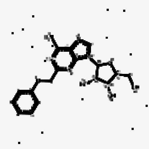 Nc1nc(COc2ccccc2)nc2c1ncn2C1O[C@@H](CO)[C@H](O)[C@@H]1O